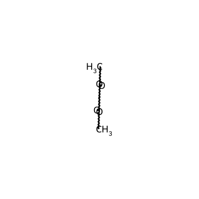 CCCCCCCCCCCCOC(=O)CCCCCCC/C=C/CCCCCCCC(=O)OCCCCCCCCCCCC